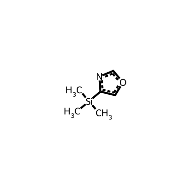 C[Si](C)(C)c1cocn1